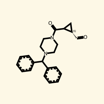 O=C[C@H]1CC1C(=O)N1CCN(C(c2ccccc2)c2ccccc2)CC1